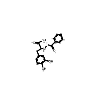 O=C(ONC(Cc1ccc(O)c(O)c1)C(=O)O)c1ccccc1